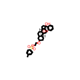 Cc1ccc(S(=O)(=O)OCCOC2CC[C@@]3(C)C(CC[C@@H]4[C@H]3CC[C@]3(C)C(O)(c5ccccc5)CC[C@@]43O)C2)cc1